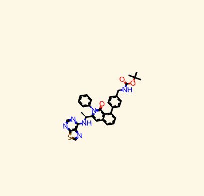 C[C@H](Nc1ncnc2scnc12)c1cc2cccc(-c3ccc(CNC(=O)OC(C)(C)C)cc3)c2c(=O)n1-c1ccccc1